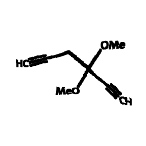 C#CCC(C#C)(OC)OC